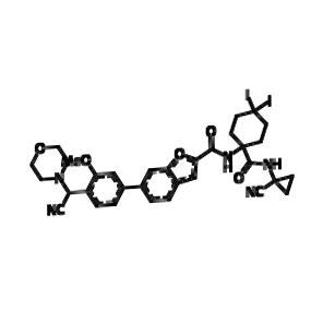 COc1cc(-c2ccc3cc(C(=O)NC4(C(=O)NC5(C#N)CC5)CCC(I)(I)CC4)oc3c2)ccc1C(C#N)N1CCOCC1